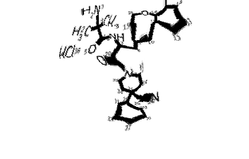 CC(C)(N)C(=O)NC(CC1=Cc2ccccc2OCC1)C(=O)N1CCC(C#N)(c2ccccc2)CC1.Cl